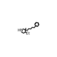 CCC1CCNCC1(C)CCCCCc1ccccc1